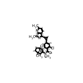 Cc1ccc2c(C3CC3c3ccc(C(=O)N(C)C4C[C@]5(C)CC[C@](C)(C4)N5)c(Cl)c3)nn(C)c2n1